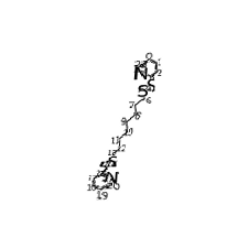 c1ccc(SSCCCCCCCCSSc2ccccn2)nc1